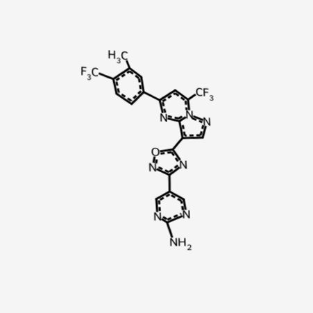 Cc1cc(-c2cc(C(F)(F)F)n3ncc(-c4nc(-c5cnc(N)nc5)no4)c3n2)ccc1C(F)(F)F